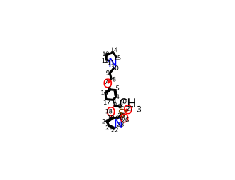 C[C@H]1[C@H](C2C=CC(OCCCN3CCCC3)=CC2)Oc2cccnc2S1(=O)=O